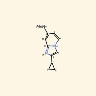 CNc1ccn2cc(C3CC3)nc2c1